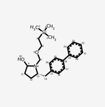 C[Si](C)(C)CCOCN1C(O)CC[C@H]1Cc1ccc(-c2ccccc2)cc1